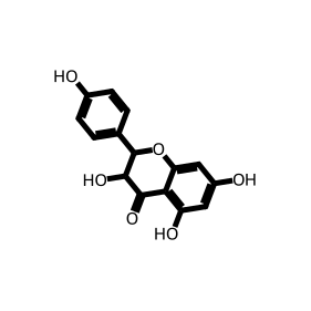 O=C1c2c(O)cc(O)cc2OC(c2ccc(O)cc2)C1O